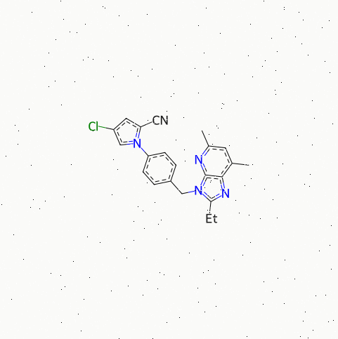 CCc1nc2c(C)cc(C)nc2n1Cc1ccc(-n2cc(Cl)cc2C#N)cc1